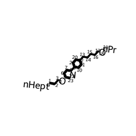 CCCCCCCC=CCOc1ccc(-c2ccc(CCCCCOCCC)cc2)nc1